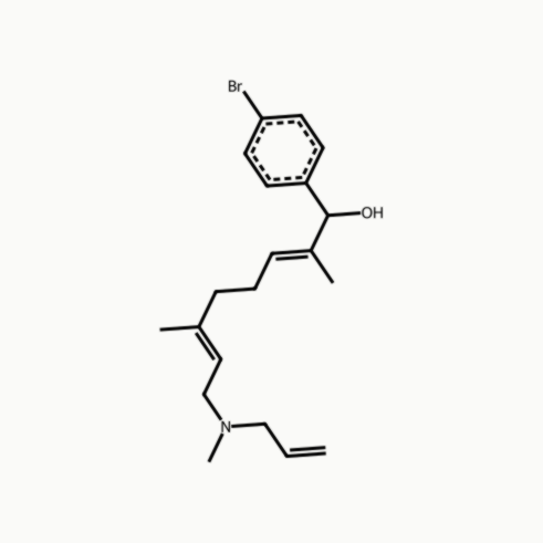 C=CCN(C)CC=C(C)CCC=C(C)C(O)c1ccc(Br)cc1